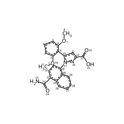 COc1cccc(OC)c1-c1cc(C(=O)O)nn1-c1ccc(C(N)=O)c2ccccc12